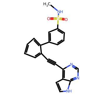 CNS(=O)(=O)c1cccc(-c2ccccc2C#Cc2ncnc3[nH]ccc23)c1